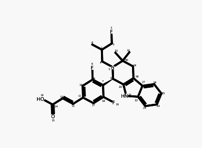 CC(CF)CN1[C@H](c2c(F)cc(/C=C/C(=O)O)cc2F)c2[nH]c3ccccc3c2CC1(C)C